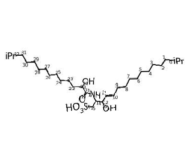 CC(C)CCCCCCCCC/C=C/C(O)[C@@H](CS(=O)(=O)O)NC(=O)C(O)CCCCCCCCCCC(C)C